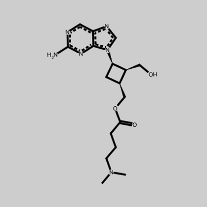 CN(C)CCCC(=O)OC[C@H]1C[C@@H](n2cnc3cnc(N)nc32)[C@H]1CO